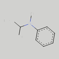 CCN(c1ccccc1)C(C)C(=O)O